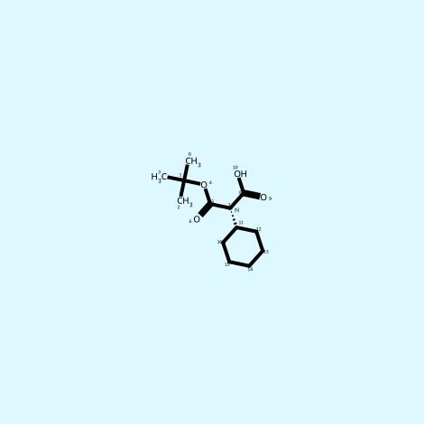 CC(C)(C)OC(=O)[C@H](C(=O)O)C1CCCCC1